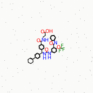 O=C(O)CCNC(=O)c1ccc(C(NC(=O)Nc2ccc(OC(F)(F)F)c(-c3nc4ccccc4o3)c2)c2ccc(C3=CCCCC3)cc2)cc1